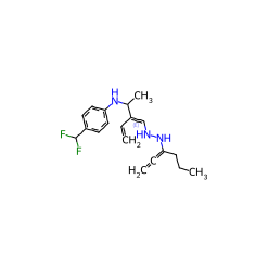 C=C=C(CCC)NN/C=C(\C=C)C(C)Nc1ccc(C(F)F)cc1